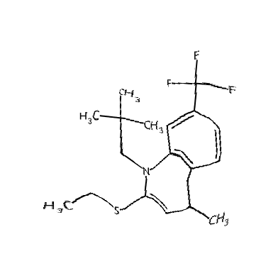 CCSC1=CC(C)c2ccc(C(F)(F)F)cc2N1CC(C)(C)C